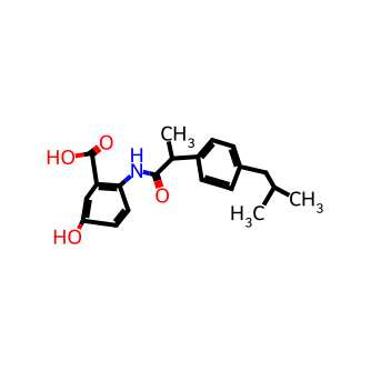 CC(C)Cc1ccc(C(C)C(=O)Nc2ccc(O)cc2C(=O)O)cc1